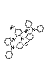 CC(C)c1cc(C(C)C)c(B2c3cc(N(c4ccccc4)c4ccccc4)ccc3Sc3ccc(N(c4ccccc4)c4ccccc4)cc32)c(C(C)C)c1